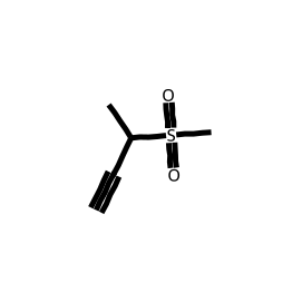 C#CC(C)S(C)(=O)=O